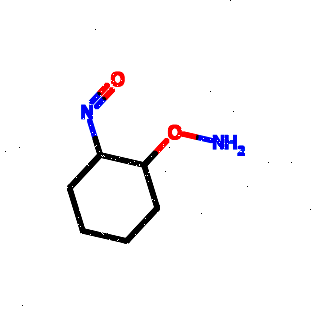 NOC1CCCCC1N=O